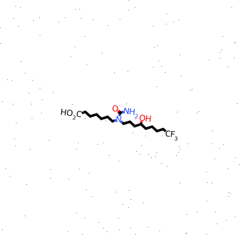 NC(=O)N(CCCCCCC(=O)O)CCCC(O)CCCCC(F)(F)F